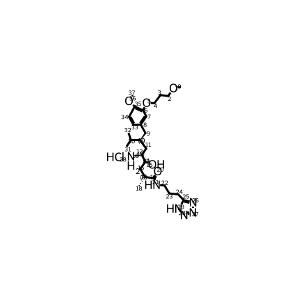 COCCCOc1cc(C[C@@H](C[C@H](N)[C@@H](O)C[C@@H](C)C(=O)NCCCc2nnn[nH]2)C(C)C)ccc1OC.Cl